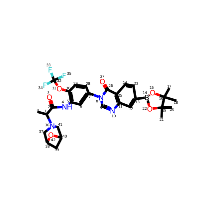 CC(C(=O)Nc1cc(-n2cnc3cc(B4OC(C)(C)C(C)(C)O4)ccc3c2=O)ccc1OC(F)(F)F)N1CC2CC(C1)O2